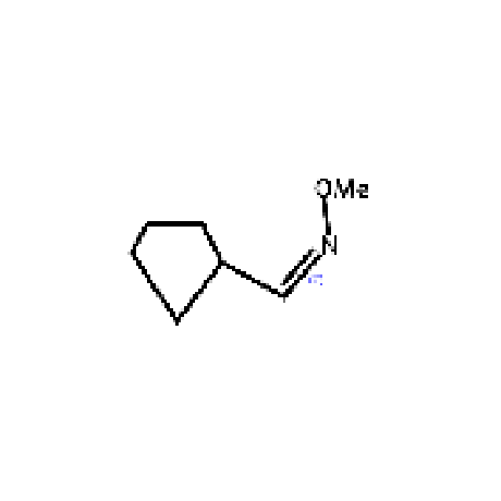 CO/N=[C]\C1CCCC1